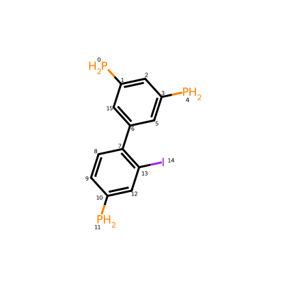 Pc1cc(P)cc(-c2ccc(P)cc2I)c1